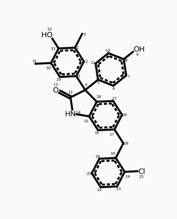 Cc1cc(C2(c3ccc(O)cc3)C(=O)Nc3cc(Cc4ccccc4Cl)ccc32)cc(C)c1O